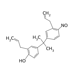 C=CCc1cc(C(C)(C)c2ccc(N=O)c(CC=C)c2)ccc1O